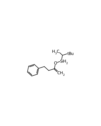 C=C(CCc1ccccc1)O[SiH2]C(C)C(C)(C)C